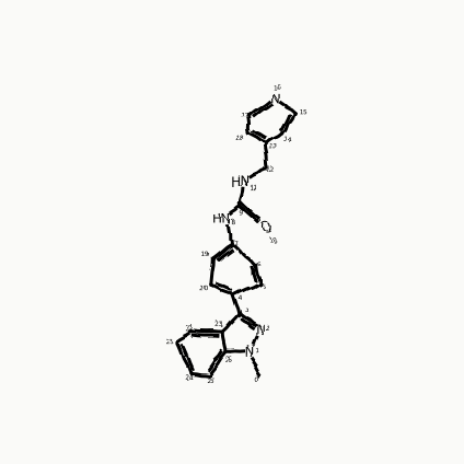 Cn1nc(-c2ccc(NC(=O)NCc3ccncc3)cc2)c2ccccc21